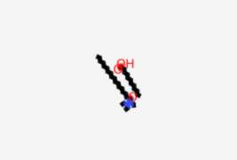 CCCCCCCCCCCC(=O)O.CCCCCCCCCCCCCCCCCC(=O)N(CC)N(CC)CC